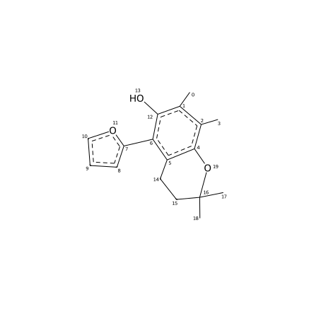 Cc1c(C)c2c(c(-c3ccco3)c1O)CCC(C)(C)O2